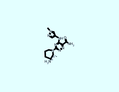 C[C@@H]1[C@H](N)CCCN1c1nnc(C(N)=O)c(Nc2cnn(C)c2)n1